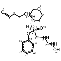 C1COCCN1.CCCC=O.CP(=O)(CNCNO)Oc1ccccc1